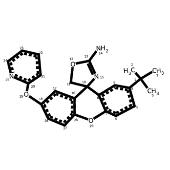 CC(C)(C)c1ccc2c(c1)C1(COC(N)=N1)c1cc(Oc3ccccn3)ccc1O2